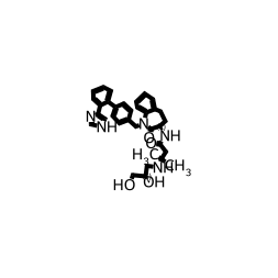 CC(C)(CC(=O)N[C@@H]1CCc2ccccc2N(Cc2ccc(-c3ccccc3-c3c[nH]cn3)cc2)C1=O)NC[C@H](O)CO